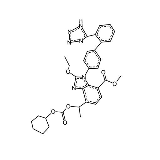 CCOc1nc2c(C(C)OC(=O)OC3CCCCC3)ccc(C(=O)OC)c2n1-c1ccc(-c2ccccc2-c2nnn[nH]2)cc1